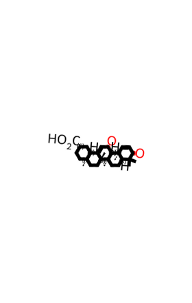 CC1(C)C(=O)C=C[C@]2(C)[C@H]3C(=O)C=C4[C@@H]5C[C@@H](C(=O)O)CC[C@]5(C)CC[C@@]4(C)[C@]3(C)CC[C@@H]12